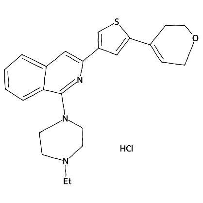 CCN1CCN(c2nc(-c3csc(C4=CCOCC4)c3)cc3ccccc23)CC1.Cl